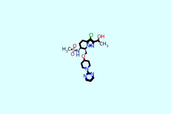 CC(O)c1nn2c(c1Cl)CC[C@H](NS(C)(=O)=O)[C@@H]2COC1CCN(c2ncccn2)CC1